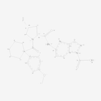 COc1ccc(C2(C(=O)N3C[C@H](F)C[C@@H]3C(=O)Nc3ccc4c(cnn4C(=O)O)n3)CCCCC2)cc1